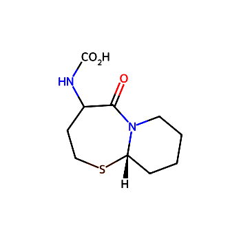 O=C(O)NC1CCS[C@H]2CCCCN2C1=O